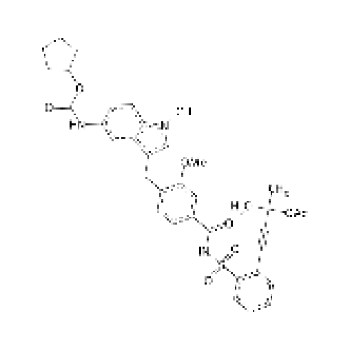 COc1cc(C(=O)NS(=O)(=O)c2ccccc2C#CC(C)(C)OC(C)=O)ccc1Cc1cn(C)c2ccc(NC(=O)OC3CCCC3)cc12